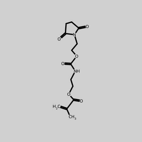 C=C(C)C(=O)OCCNC(=O)OCCN1C(=O)CCC1=O